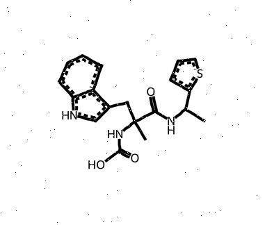 CC(NC(=O)C(C)(Cc1c[nH]c2ccccc12)NC(=O)O)c1cccs1